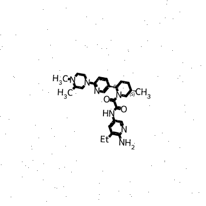 CCc1cc(NC(=O)C(=O)N2C[C@@H](C)CC[C@@H]2c2ccc(N3CCN(C)C(C)C3)nc2)cnc1N